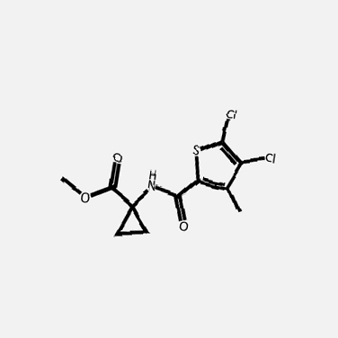 COC(=O)C1(NC(=O)c2sc(Cl)c(Cl)c2C)CC1